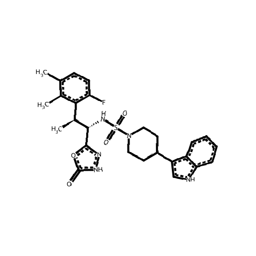 Cc1ccc(F)c([C@H](C)[C@H](NS(=O)(=O)N2CCC(c3c[nH]c4ccccc34)CC2)c2n[nH]c(=O)o2)c1C